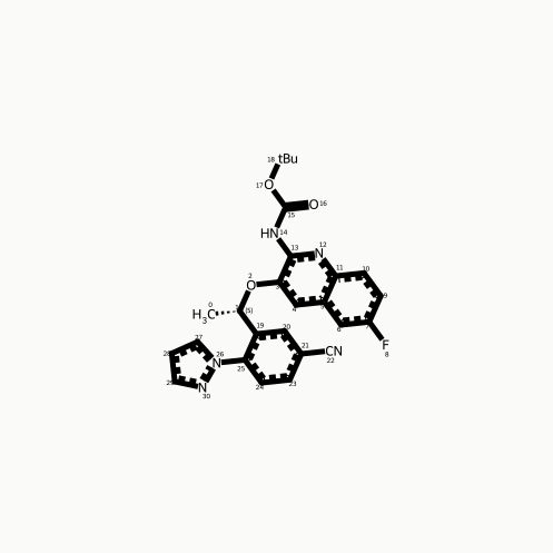 C[C@H](Oc1cc2cc(F)ccc2nc1NC(=O)OC(C)(C)C)c1cc(C#N)ccc1-n1cccn1